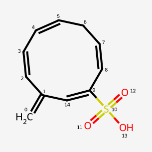 C=C1/C=C\C=C/C/C=C\C(S(=O)(=O)O)=C/1